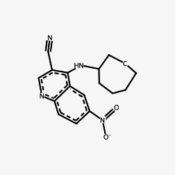 N#Cc1cnc2ccc([N+](=O)[O-])cc2c1NC1CCCCCC1